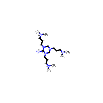 CN(C)CCCN1CN(CCCN(C)C)C(N)N(CCCN(C)C)C1